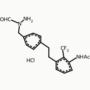 CC(=O)Nc1cccc(CCc2ccc(CN(N)C=O)cc2)c1C(F)(F)F.Cl